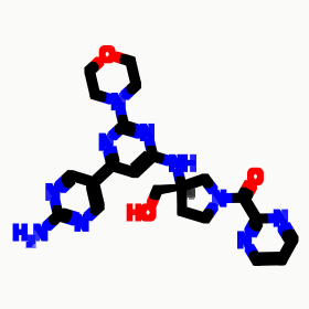 Nc1ncc(-c2cc(N[C@@]3(CO)CCN(C(=O)c4ncccn4)C3)nc(N3CCOCC3)n2)cn1